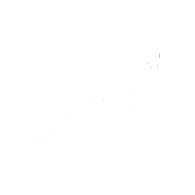 CNCCOB(C)c1ccc(-c2ccc(C)cc2)cc1